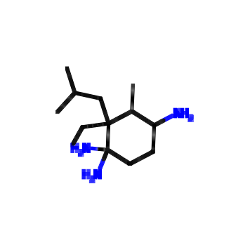 CCC1(CC(C)C)C(C)C(N)CCC1(N)N